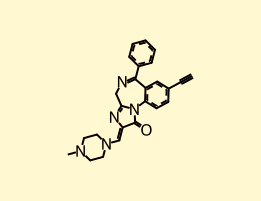 C#Cc1ccc2c(c1)C(c1ccccc1)=NCC1=N/C(=C\N3CCN(C)CC3)C(=O)N12